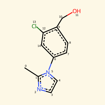 Cc1nccn1-c1ccc(CO)c(Cl)c1